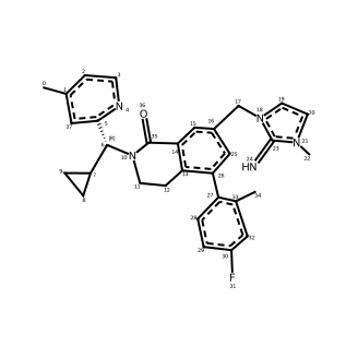 Cc1ccnc([C@@H](C2CC2)N2CCc3c(cc(Cn4ccn(C)c4=N)cc3-c3ccc(F)cc3C)C2=O)c1